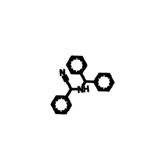 N#CC(NC(c1ccccc1)c1ccccc1)c1ccccc1